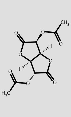 CC(=O)O[C@@H]1C(=O)O[C@H]2[C@@H]1OC(=O)[C@@H]2OC(C)=O